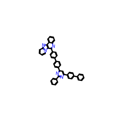 c1ccc(-c2ccc(-c3cc(-c4ccc(-c5ccc(-c6nc7ccccc7c7nc8ccccn8c67)cc5)cc4)nc(-c4ccccc4)n3)cc2)cc1